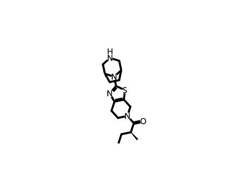 CC[C@H](C)C(=O)N1CCc2nc(N3C4CCC3CNC4)sc2C1